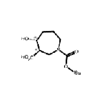 CC(C)(C)OC(=O)N1CCC[C@@H](O)[C@H](C(=O)O)C1